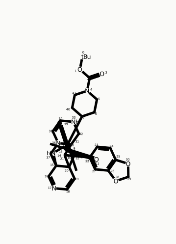 CC(C)(C)OC(=O)N1CCC(C2CC(=O)C3=C(NC45C=NC=CC34C(c3ccc4c(c3)OCO4)C3CNC=CN3C5)C2=O)CC1